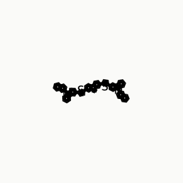 CC1(C)c2cc(-c3ccc(-c4ccc5c(c4)c4ccccc4n5-c4ccc5ccccc5c4)s3)ccc2-c2ccc(-c3ccc(-c4ccc5c(c4)c4ccccc4n5-c4ccc5ccccc5c4)s3)cc21